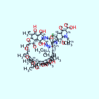 COc1c(N2CCC(N(CC(C)C)/N=C/c3c4c(O)c5c(O)c(C)c6c(c5c3O)C(=O)[C@@](C)(O/C=C/[C@H](OC)[C@@H](C)[C@@H](OC(C)=O)[C@H](C)[C@H](O)[C@H](C)[C@@H](O)[C@@H](C)/C=C/C=C(/C)C(=O)N4)O6)C2)c(F)cc2c(=O)c(C(=O)O)cn(C3CC3)c12